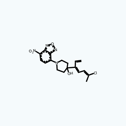 C=C/C(=C\C=C(/C)Cl)C1(O)CCN(c2ccc([N+](=O)[O-])c3nonc23)CC1